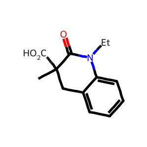 CCN1C(=O)C(C)(C(=O)O)Cc2ccccc21